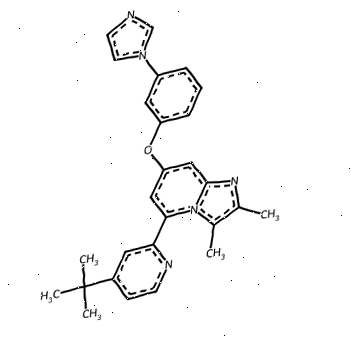 Cc1nc2cc(Oc3cccc(-n4ccnc4)c3)cc(-c3cc(C(C)(C)C)ccn3)n2c1C